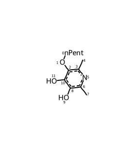 CCCCCOc1c(C)nc(C)c(O)c1O